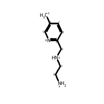 Cc1ccc(CNCCN)nc1